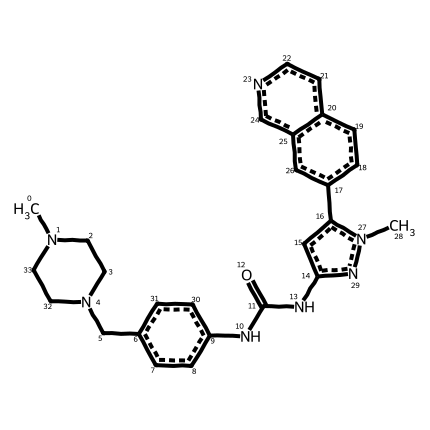 CN1CCN(Cc2ccc(NC(=O)Nc3cc(-c4ccc5ccncc5c4)n(C)n3)cc2)CC1